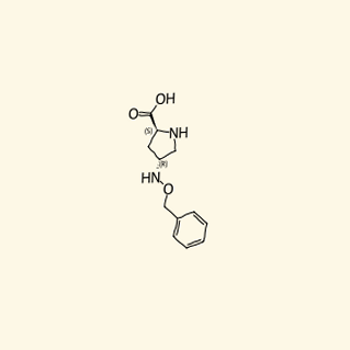 O=C(O)[C@@H]1C[C@@H](NOCc2ccccc2)CN1